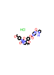 CC(=O)c1ccc(-n2c(=O)n3n(c2=O)C2C(=CC3)C(C)(C)Oc3cc(OC(=O)N4CCN(C(=O)[C@@H]5CCCN5)CC4)ccc32)cc1.Cl